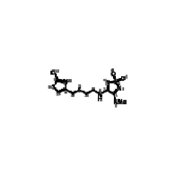 CNC1=NS(=O)(=O)N=C1NCCSCc1csc(Cl)n1